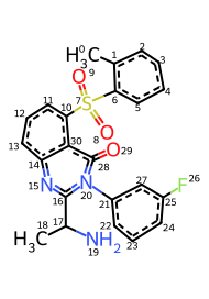 Cc1ccccc1S(=O)(=O)c1cccc2nc(C(C)N)n(-c3cccc(F)c3)c(=O)c12